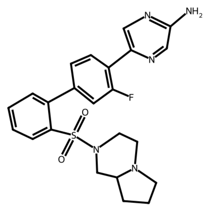 Nc1cnc(-c2ccc(-c3ccccc3S(=O)(=O)N3CCN4CCCC4C3)cc2F)cn1